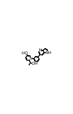 CC(O)C1C=CC(O)=CN1c1cccc(-c2cnc3cc[nH]c3c2)c1